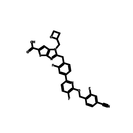 N#Cc1ccc(COc2nc(-c3ccc(Cc4nc5sc(C(=O)O)cc5n4CC4CCO4)c(F)c3)ccc2F)c(F)c1